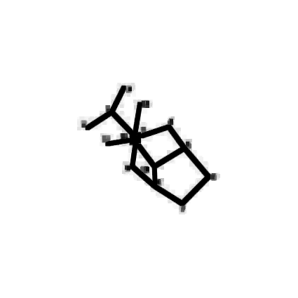 CC(C)N1CC2CCC(C1)C2N(C)C